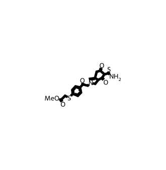 COC(=O)CSc1ccc(C(=O)CN2C=C3CC(=O)C(C(N)=S)C(=O)C3C2)cc1